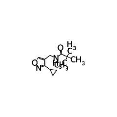 CN(Cc1conc1C1CC1)C(=O)C(C)(C)C